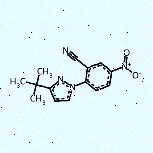 CC(C)(C)c1ccn(-c2ccc([N+](=O)[O-])cc2C#N)n1